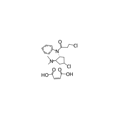 CN(C)[C@@H]1CC(Cl)C[C@H]1N(C(=O)CCCl)c1ccccc1.O=C(O)/C=C\C(=O)O